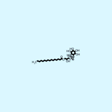 CCCCCCCCCCCCCCCC(=O)OC[C@@H](O)COP(=O)(O)OC1[C@H](O)[C@H](O)C(O)[C@H](O)[C@H]1O